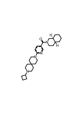 O=C(c1ccc(N2CCC3(CC2)CCN(C2CCC2)CC3)nc1)N1CC[C@H]2CCCC[C@@H]2C1